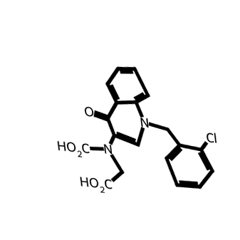 O=C(O)CN(C(=O)O)c1cn(Cc2ccccc2Cl)c2ccccc2c1=O